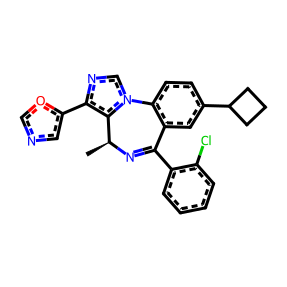 C[C@@H]1N=C(c2ccccc2Cl)c2cc(C3CCC3)ccc2-n2cnc(-c3cnco3)c21